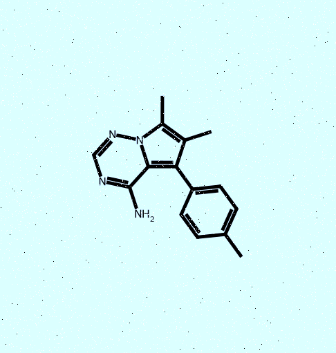 Cc1ccc(-c2c(C)c(C)n3ncnc(N)c23)cc1